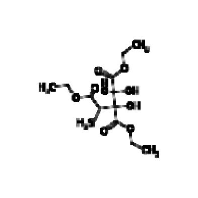 CCOC(=O)C([SiH3])C(O)(C(=O)OCC)C(O)(O)C(=O)OCC